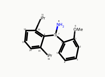 COc1cccc[c]1[Ti]([NH2])[c]1c(C(C)C)cccc1C(C)C